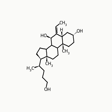 C/C=C1/[C@H](O)C2C3CC[C@H]([C@H](C)CCCO)[C@@]3(C)CCC2[C@@]2(C)CC[C@@H](O)C[C@@H]12